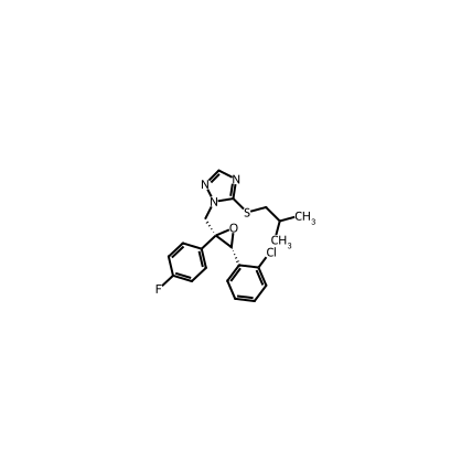 CC(C)CSc1ncnn1C[C@]1(c2ccc(F)cc2)O[C@@H]1c1ccccc1Cl